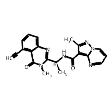 C#Cc1cccc2nc([C@H](C)NC(=O)c3c(C)nn4cccnc34)n(C)c(=O)c12